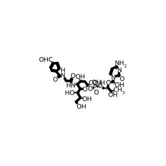 C[C@@H](O)[C@@H](COP(=O)(O)O[C@@]1(C(=O)O)C[C@@H](O)[C@@H](NC(=O)CNC(=O)c2ccc(C=O)cc2)C([C@H](O)[C@H](O)CO)O1)O[C@H](O)n1ccc(N)nc1=O